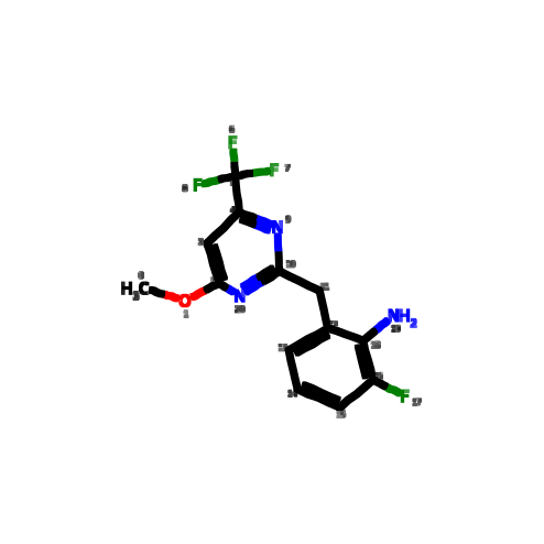 COc1cc(C(F)(F)F)nc(Cc2cccc(F)c2N)n1